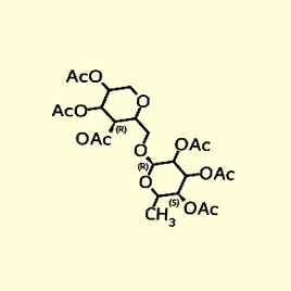 CC(=O)OC1COC(CO[C@@H]2OC(C)[C@H](OC(C)=O)C(OC(C)=O)C2OC(C)=O)[C@@H](OC(C)=O)C1OC(C)=O